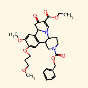 CCOC(=O)C1=CN2C(CC1=O)c1cc(OC)c(OCCCOC)cc1C1CN(C(=O)OCc3ccccc3)CCC12